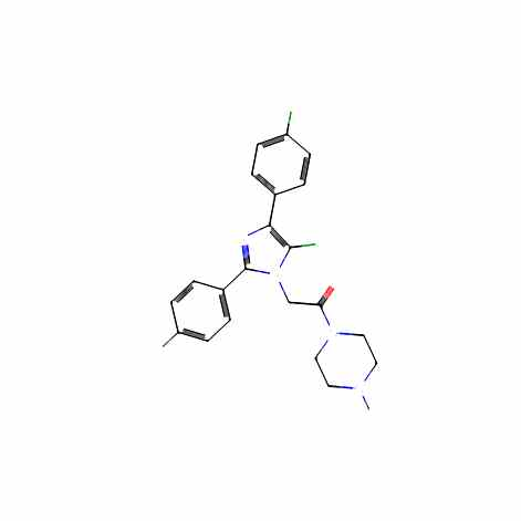 COc1ccc(-c2nc(-c3ccc(Cl)cc3)c(Br)n2CC(=O)N2CCN(C(C)(C)C)CC2)cc1